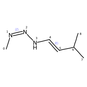 C/N=N\N/C=C/C(C)C